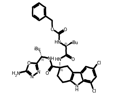 CCC(C)[C@H](NC(=O)OCc1ccccc1)C(=O)N[C@@]1(C(=O)N[C@H](c2nnc(N)o2)C(C)CC)CCc2[nH]c3c(Cl)cc(Cl)cc3c2C1